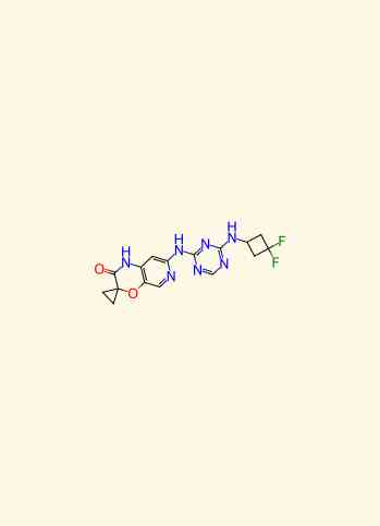 O=C1Nc2cc(Nc3ncnc(NC4CC(F)(F)C4)n3)ncc2OC12CC2